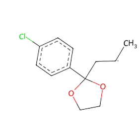 C[CH]CC1(c2ccc(Cl)cc2)OCCO1